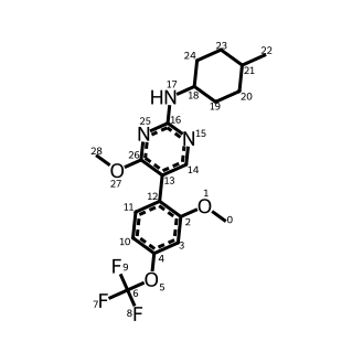 COc1cc(OC(F)(F)F)ccc1-c1cnc(NC2CCC(C)CC2)nc1OC